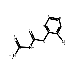 N=C(N)NC(=O)Cc1ccccc1Cl